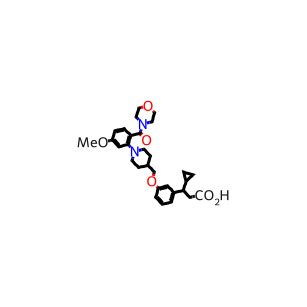 COc1ccc(C(=O)N2CCOCC2)c(N2CCC(COc3cccc(C(CC(=O)O)C4CC4)c3)CC2)c1